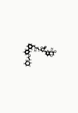 O=C1COc2ccc(N3C[C@H](CCNCc4cccc(-c5cccc(OCCN6CCCCC6)c5)c4)OC3=O)nc2N1